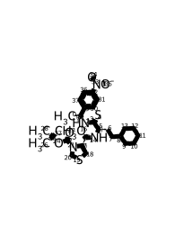 C[C@@H](NC(=S)[C@H](CCC1CCCCC1)NC(=O)[C@@H]1CSCN1C(=O)OC(C)(C)C)c1ccc([N+](=O)[O-])cc1